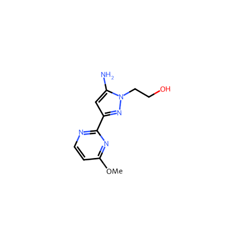 COc1ccnc(-c2cc(N)n(CCO)n2)n1